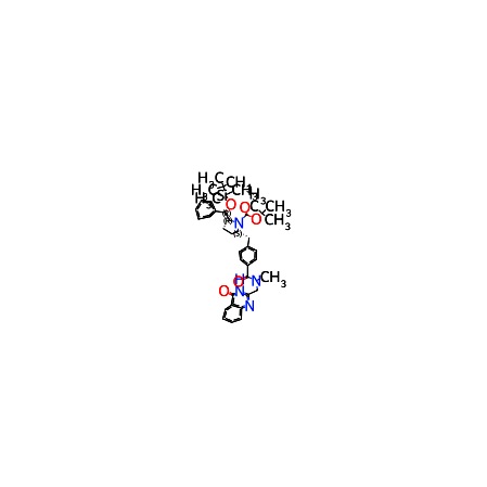 CN(Cc1nc2ccccc2c(=O)[nH]1)C(=O)c1ccc(C[C@@H]2CC[C@H]([C@H](O[Si](C)(C)C(C)(C)C)c3ccccc3)N2C(=O)OC(C)(C)C)cc1